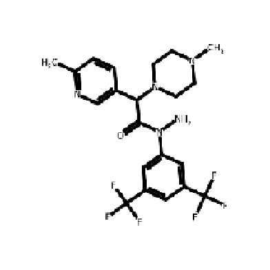 Cc1ccc(C(C(=O)N(N)c2cc(C(F)(F)F)cc(C(F)(F)F)c2)N2CCN(C)CC2)cn1